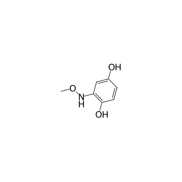 CONc1cc(O)ccc1O